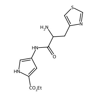 CCOC(=O)c1cc(NC(=O)C(N)Cc2cscn2)c[nH]1